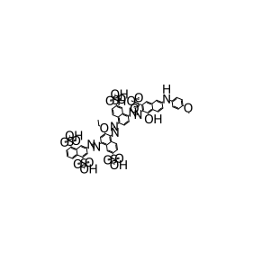 CCOc1cc(N=Nc2cc(S(=O)(=O)O)c3cccc(S(=O)(=O)O)c3c2)c2cc(S(=O)(=O)O)ccc2c1N=Nc1ccc(N=Nc2c(S(=O)(=O)O)cc3cc(Nc4ccc(OC)cc4)ccc3c2O)c2cc(S(=O)(=O)O)ccc12